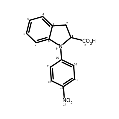 O=C(O)C1Cc2ccccc2N1c1ccc([N+](=O)[O-])cc1